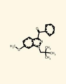 COc1ccc2c(C(=O)c3ccccc3)nn(CC(C)(C)C)c2c1